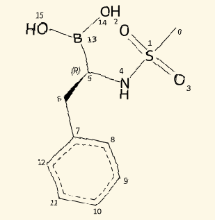 CS(=O)(=O)N[C@@H](Cc1ccccc1)B(O)O